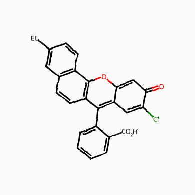 CCc1ccc2c(ccc3c(-c4ccccc4C(=O)O)c4cc(Cl)c(=O)cc-4oc32)c1